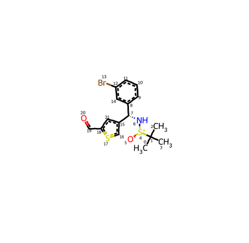 CC(C)(C)[S+]([O-])N[C@@H](c1cccc(Br)c1)c1csc(C=O)c1